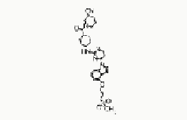 CS(=O)(=O)CCCOc1cccc2c1ccn2-c1ccnc(N[C@H]2CC[C@H](C(=O)N3CCCC(C#N)C3)CC2)n1